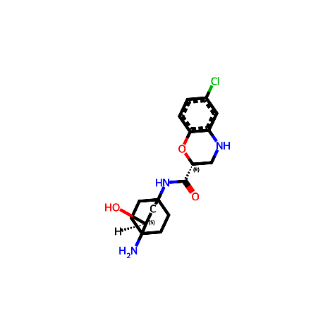 NC12CCC(NC(=O)[C@H]3CNc4cc(Cl)ccc4O3)(CC1)C[C@@H]2O